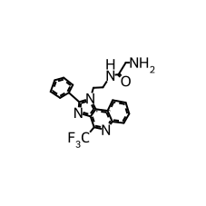 NCC(=O)NCCn1c(-c2ccccc2)nc2c(C(F)(F)F)nc3ccccc3c21